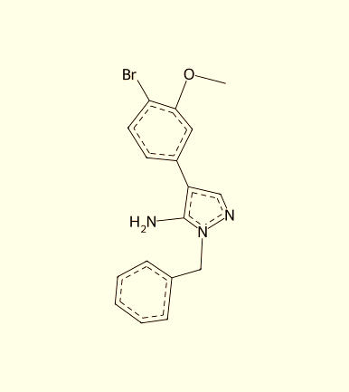 COc1cc(-c2cnn(Cc3ccccc3)c2N)ccc1Br